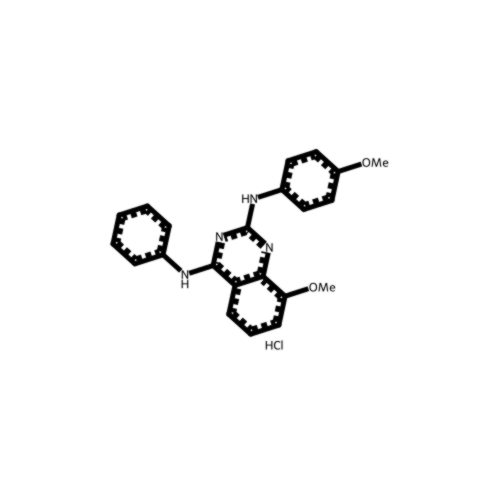 COc1ccc(Nc2nc(Nc3ccccc3)c3cccc(OC)c3n2)cc1.Cl